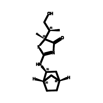 C[C@H](CO)[C@]1(C)SC(N[C@H]2C[C@@H]3CC[C@H]2C3)=NC1=O